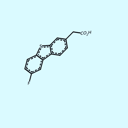 O=C(O)Cc1ccc2c(c1)sc1ccc(F)cc12